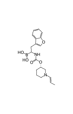 CC=CN1CCC[C@H](OC(=O)NC(Cc2coc3ccccc23)B(O)O)C1